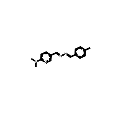 Cc1ccc(/C=N/N=C/c2ccc(N(C)C)nc2)cc1